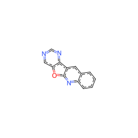 c1ccc2nc3oc4cncnc4c3cc2c1